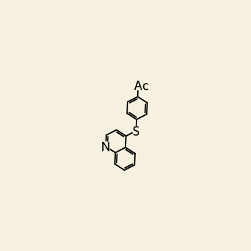 CC(=O)c1ccc(Sc2ccnc3ccccc23)cc1